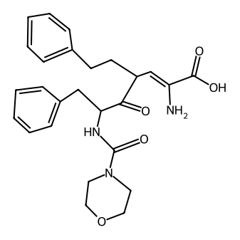 NC(=CC(CCc1ccccc1)C(=O)C(Cc1ccccc1)NC(=O)N1CCOCC1)C(=O)O